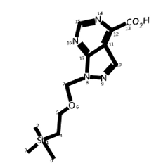 C[Si](C)(C)CCOCn1ncc2c(C(=O)O)ncnc21